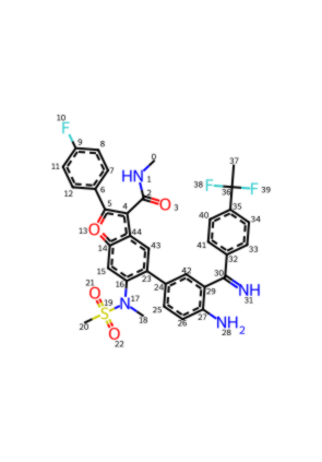 CNC(=O)c1c(-c2ccc(F)cc2)oc2cc(N(C)S(C)(=O)=O)c(-c3ccc(N)c(C(=N)c4ccc(C(C)(F)F)cc4)c3)cc12